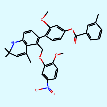 COc1ccc([N+](=O)[O-])cc1OCc1c(-c2ccc(OC(=O)c3cccc(C)c3)cc2OC)ccc2c1C(C)=CC(C)(C)N2